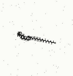 CCCCCCCCCCCCCCCCCCN1CCC(=Cc2ccc(C3=NCCO3)cc2)CC1